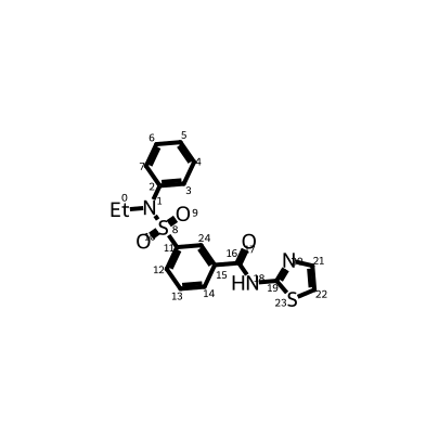 CCN(c1ccccc1)S(=O)(=O)c1cccc(C(=O)Nc2nccs2)c1